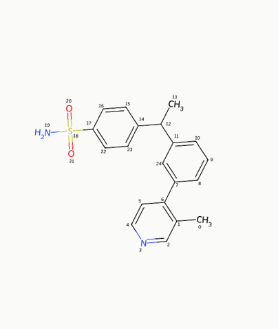 Cc1cnccc1-c1cccc(C(C)c2ccc(S(N)(=O)=O)cc2)c1